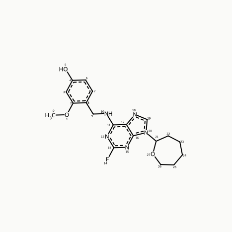 COc1cc(O)ccc1CNc1nc(F)nc2c1ncn2C1CCCCCO1